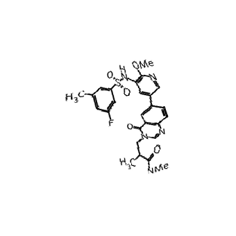 CNC(=O)C(C)Cn1cnc2ccc(-c3cnc(OC)c(NS(=O)(=O)c4cc(C)cc(F)c4)c3)cc2c1=O